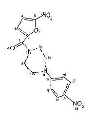 O=C(c1ccc([N+](=O)[O-])o1)N1CCN(c2ccc([N+](=O)[O-])cc2)CC1